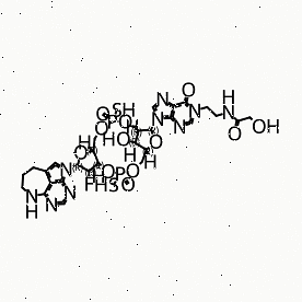 O=C(CO)NCCn1cnc2c(ncn2[C@@H]2O[C@@H]3COP(=O)(S)O[C@H]4[C@@H](F)[C@H](n5cc6c7c(ncnc75)NCCC6)O[C@@H]4COP(=O)(S)O[C@@H]2[C@@H]3O)c1=O